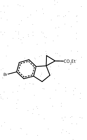 CCOC(=O)C1CC12CCc1cc(Br)ccc12